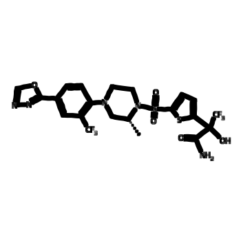 C[C@@H]1CN(c2ccc(-c3nnco3)cc2C(F)(F)F)CCN1S(=O)(=O)c1ccc(C(O)(C(N)=O)C(F)(F)F)s1